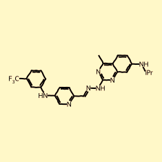 Cc1nc(N/N=C/c2ccc(Nc3cccc(C(F)(F)F)c3)cn2)nc2cc(NC(C)C)ccc12